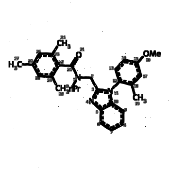 CCCN(Cc1nc2ccccc2n1-c1ccc(OC)cc1C)C(=O)c1c(C)cc(C)cc1C